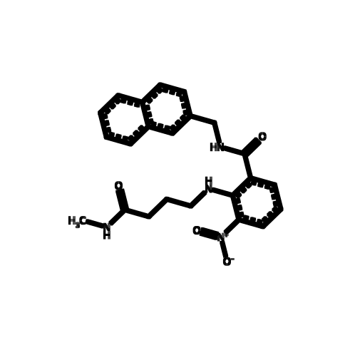 CNC(=O)CCCNc1c(C(=O)NCc2ccc3ccccc3c2)cccc1[N+](=O)[O-]